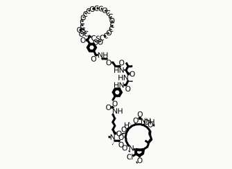 COc1cc2cc(c1Cl)N(C)C(=O)C[C@H](OC(=O)[C@H](C)N(C)C(=O)CCCCCNC(=O)OCc1ccc(NC(=O)[C@H](C)NC(=O)[C@@H](NC(=O)CCOCCNC(=O)c3ccc(C(=O)C4CS(=O)(=O)CCOCCOCCOCCOCCOCCS(=O)(=O)C4)cc3)C(C)C)cc1)[C@]1(C)O[C@H]1[C@H](C)C1C[C@@](O)(NC(=O)O1)[C@H](OC)/C=C/C=C(\C)C2